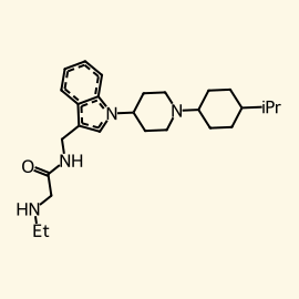 CCNCC(=O)NCc1cn(C2CCN(C3CCC(C(C)C)CC3)CC2)c2ccccc12